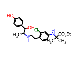 CCOC(=O)C(C)(C)Nc1ccc(CCNC(C)C(O)c2ccc(O)cc2)c(Cl)c1